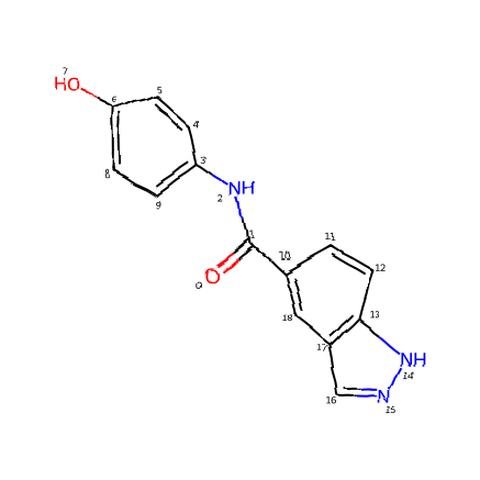 O=C(Nc1ccc(O)cc1)c1ccc2[nH]ncc2c1